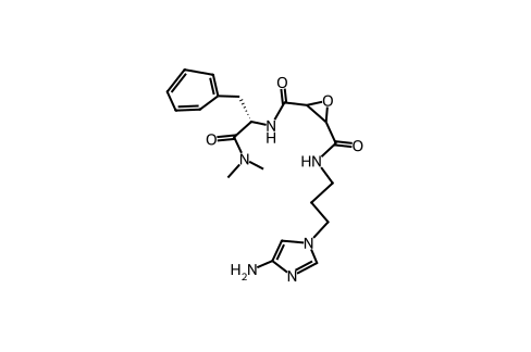 CN(C)C(=O)[C@H](Cc1ccccc1)NC(=O)C1OC1C(=O)NCCCn1cnc(N)c1